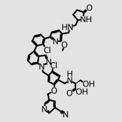 COc1nc(-c2cccc(-c3cccc4c3cnn4Cc3cc(OCc4cncc(C#N)c4)c(CN[C@@H](CO)C(=O)O)cc3Cl)c2Cl)ccc1CNCC1CCC(=O)N1